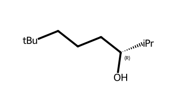 CC(C)[C@H](O)CCCC(C)(C)C